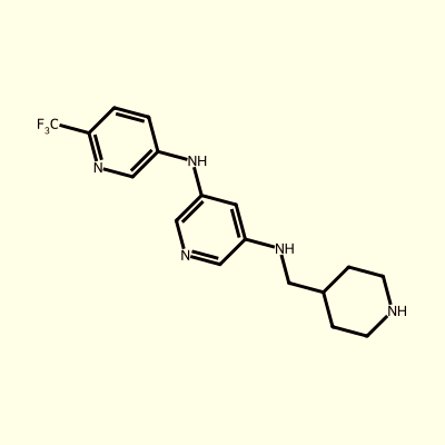 FC(F)(F)c1ccc(Nc2cncc(NCC3CCNCC3)c2)cn1